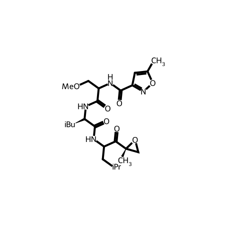 CC[C@H](C)C(NC(=O)C(COC)NC(=O)c1cc(C)on1)C(=O)NC(CC(C)C)C(=O)[C@@]1(C)CO1